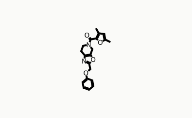 Cc1cc(C)c(C(=O)N2CCc3nc(COc4ccccc4)oc3C2)o1